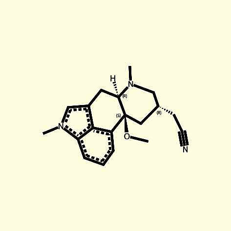 CO[C@]12C[C@@H](CC#N)CN(C)[C@@H]1Cc1cn(C)c3cccc2c13